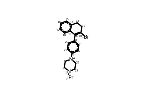 CC(C)N1CCN(c2ccc(C3=C(Br)CCc4ccccc43)cc2)CC1